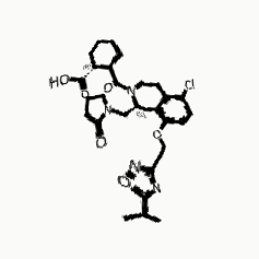 CC(C)c1nc(COc2ccc(Cl)c3c2[C@@H](CN2CCCC2=O)N(C(=O)C2CCCC[C@H]2C(=O)O)CC3)no1